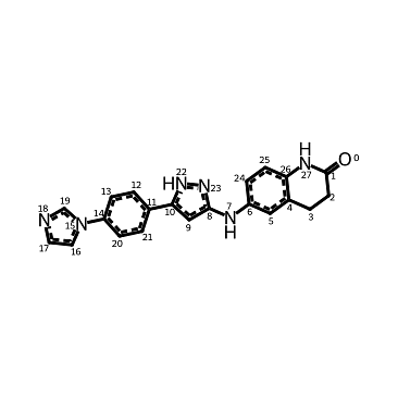 O=C1CCc2cc(Nc3cc(-c4ccc(-n5ccnc5)cc4)[nH]n3)ccc2N1